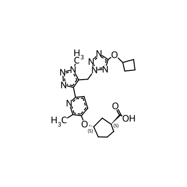 Cc1nc(-c2nnn(C)c2Cn2nnc(OC3CCC3)n2)ccc1O[C@H]1CCC[C@H](C(=O)O)C1